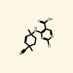 CC1(C#N)C=CC(C)(Nc2nc(Cl)ncc2C(=O)O)CC1